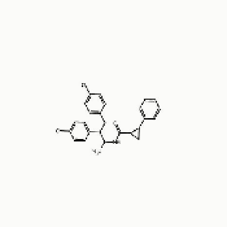 CC(NC(=O)C1CC1c1ccccc1)C(Cc1ccc(Cl)cc1)c1ccc(Cl)cc1